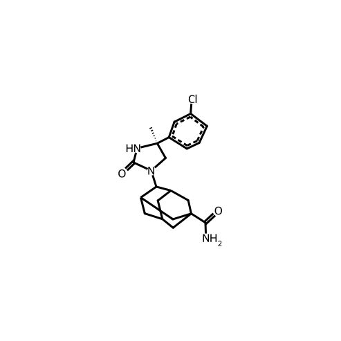 C[C@]1(c2cccc(Cl)c2)CN(C2C3CC4CC2CC(C(N)=O)(C4)C3)C(=O)N1